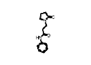 O=C(CCN1CCCC1=O)Nc1ccccc1